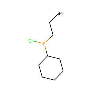 CC(C)CCP(Cl)C1CCCCC1